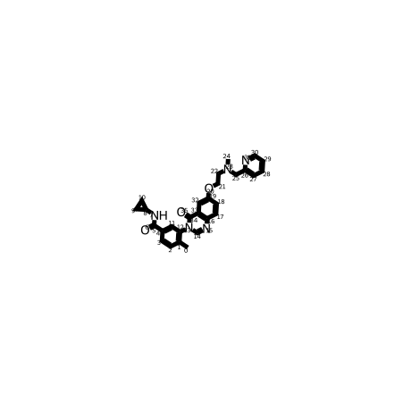 Cc1ccc(C(=O)NC2CC2)cc1-n1cnc2ccc(OCCN(C)Cc3ccccn3)cc2c1=O